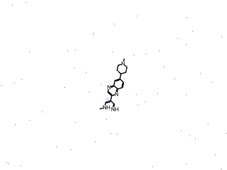 CN/C=C(\C=N)c1cnc2cc(C3CCN(C)CC3)ccc2n1